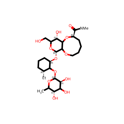 CC[C@@H]1CCC[C@@H](O[C@@H]2OC(CO)[C@H](O)C3O[C@@H](C(=O)NC)CCCCOC32)C1O[C@@H]1OC(C)[C@@H](O)C(O)[C@@H]1O